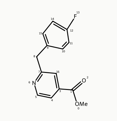 COC(=O)c1ccnc(Cc2ccc(F)cc2)c1